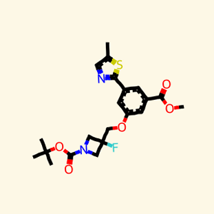 COC(=O)c1cc(OCC2(F)CN(C(=O)OC(C)(C)C)C2)cc(-c2ncc(C)s2)c1